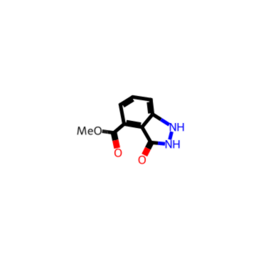 COC(=O)c1cccc2[nH][nH]c(=O)c12